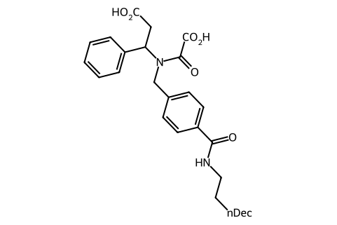 CCCCCCCCCCCCNC(=O)c1ccc(CN(C(=O)C(=O)O)C(CC(=O)O)c2ccccc2)cc1